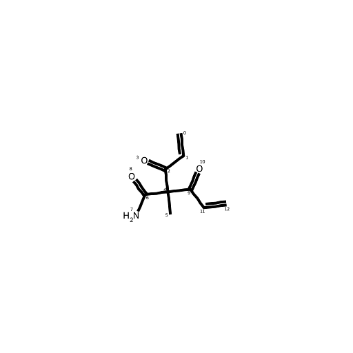 C=CC(=O)C(C)(C(N)=O)C(=O)C=C